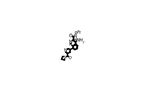 CCCNC(=O)c1nnc2c(-c3cncc(C(=O)N4CCC4)c3)cccc2c1N